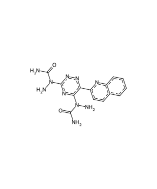 NC(=O)N(N)c1nnc(-c2ccc3ccccc3n2)c(N(N)C(N)=O)n1